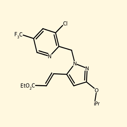 CCOC(=O)/C=C/c1cc(OC(C)C)nn1Cc1ncc(C(F)(F)F)cc1Cl